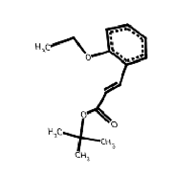 CCOc1ccccc1C=CC(=O)OC(C)(C)C